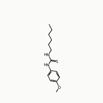 CCCCCCNC(=S)Nc1ccc(OC)cc1